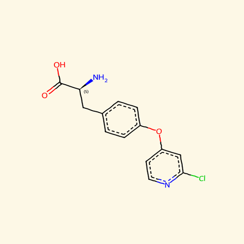 N[C@@H](Cc1ccc(Oc2ccnc(Cl)c2)cc1)C(=O)O